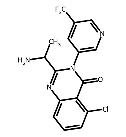 CC(N)c1nc2cccc(Cl)c2c(=O)n1-c1cncc(C(F)(F)F)c1